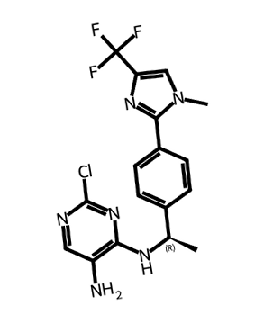 C[C@@H](Nc1nc(Cl)ncc1N)c1ccc(-c2nc(C(F)(F)F)cn2C)cc1